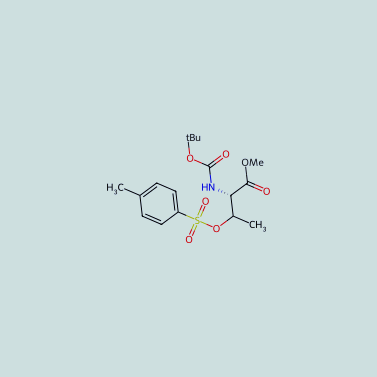 COC(=O)[C@@H](NC(=O)OC(C)(C)C)C(C)OS(=O)(=O)c1ccc(C)cc1